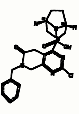 O=C1Cc2c(nc(Cl)nc2N2C[C@H]3CC[C@@H](C2)N3C(=O)O)CN1Cc1ccccc1